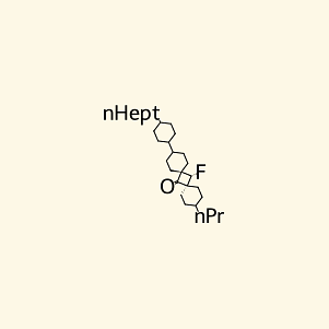 CCCCCCCC1CCC(C2CC[C@]3(CC2)C(=O)[C@@]2(CCC(CCC)CC2)[C@H]3F)CC1